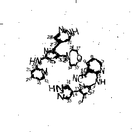 Cc1sc(Nc2ncccc2C#N)nc1-c1cn[nH]c1.c1ccc(Nc2nc(-c3cn[nH]c3)c(N3CCOCC3)s2)nc1